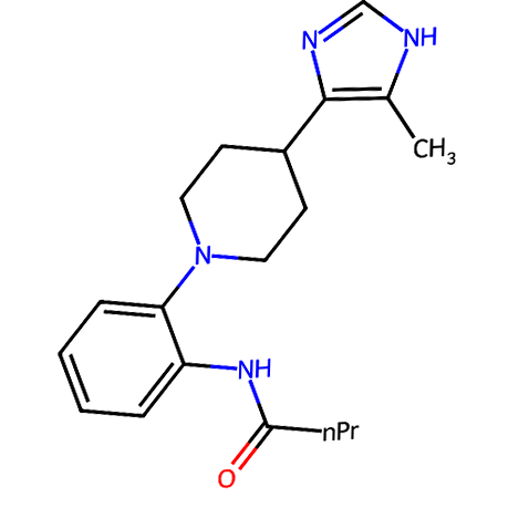 CCCC(=O)Nc1ccccc1N1CCC(c2nc[nH]c2C)CC1